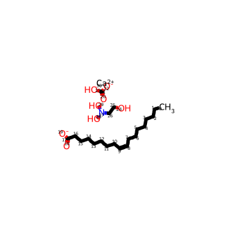 CCCCCCCC/C=C\CCCCCCCC(=O)[O-].O=C([O-])O.OCCN(O)O.[Ca+2]